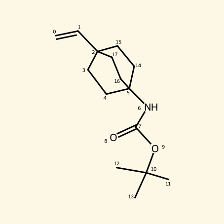 C=CC12CCC(NC(=O)OC(C)(C)C)(CC1)CC2